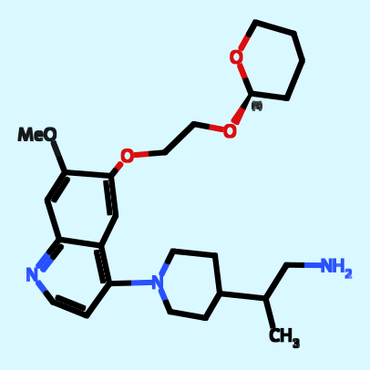 COc1cc2nccc(N3CCC(C(C)CN)CC3)c2cc1OCCO[C@@H]1CCCCO1